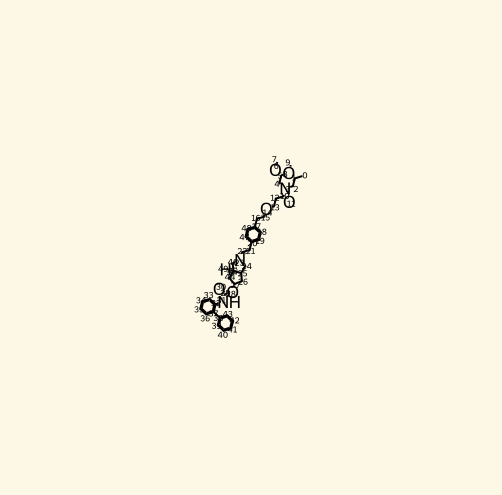 CCCN(CC(OC)OC)C(=O)CCOCCc1ccc(CCN2CC3CC(OC(=O)Nc4ccccc4-c4ccccc4)C[C@@H]3C2)cc1